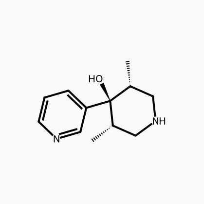 C[C@@H]1CNC[C@H](C)[C@]1(O)c1cccnc1